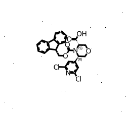 O=C(O)[C@@H]1COC[C@@H](c2cc(Cl)nc(Cl)c2)N1C(=O)OCC1c2ccccc2-c2ccccc21